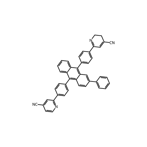 N#CC1=CC(c2ccc(-c3c4ccccc4c(-c4ccc(-c5cc(C#N)ccn5)cc4)c4ccc(-c5ccccc5)cc34)cc2)=NCC1